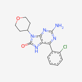 Nc1nc(-c2ccccc2Cl)c2[nH]c(=O)n(C3CCOCC3)c2n1